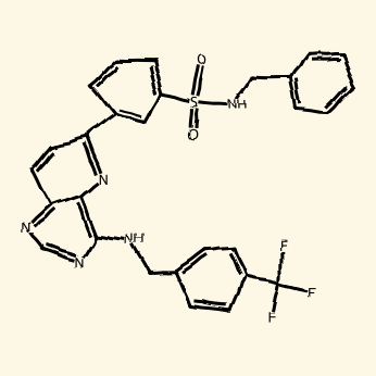 O=S(=O)(NCc1ccccc1)c1cccc(-c2ccc3ncnc(NCc4ccc(C(F)(F)F)cc4)c3n2)c1